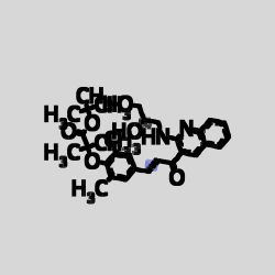 Cc1cc(/C=C/C(=O)c2cc3ccccc3nc2NC[C@@H](O)CO)cc(C)c1OC(C)(C)C(=O)OC(C)(C)C